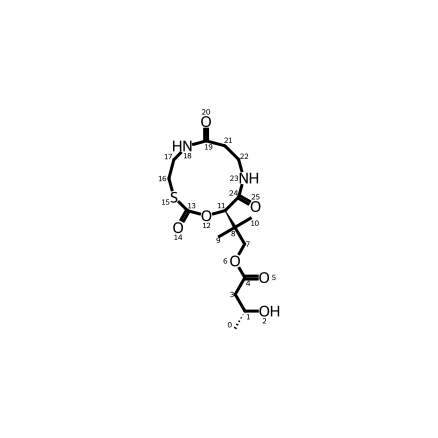 C[C@@H](O)CC(=O)OCC(C)(C)[C@H]1OC(=O)SCCNC(=O)CCNC1=O